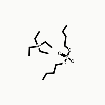 CCCCOP(=O)([O-])OCCCC.CC[P+](CC)(CC)CC